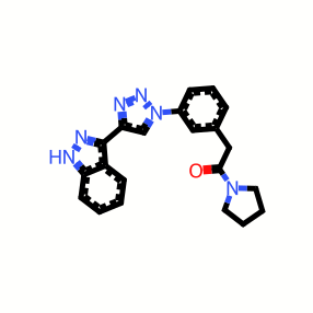 O=C(Cc1cccc(-n2cc(-c3n[nH]c4ccccc34)nn2)c1)N1CCCC1